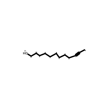 CC#CCCCCCCCCCO